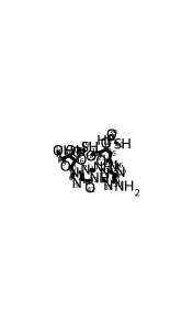 Nc1nc2c(ncn2[C@@H]2O[C@H](CO)C(O)C2OP(=O)(S)OC[C@H]2O[C@@H](n3cnc4c(N)ncnc43)CC2O[PH](=O)S)c(=O)[nH]1